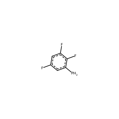 Fc1cc(F)c(F)c(P)c1